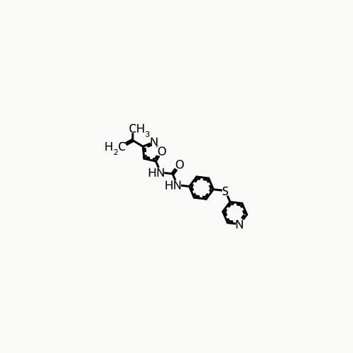 C=C(C)c1cc(NC(=O)Nc2ccc(Sc3ccncc3)cc2)on1